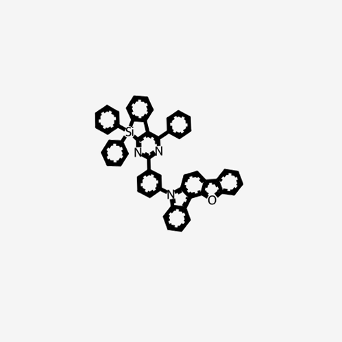 c1ccc(-c2nc(-c3cccc(-n4c5ccccc5c5c6oc7ccccc7c6ccc54)c3)nc3c2-c2ccccc2[Si]3(c2ccccc2)c2ccccc2)cc1